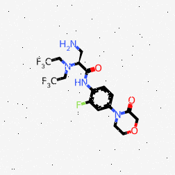 NC[C@@H](C(=O)Nc1ccc(N2CCOCC2=O)cc1F)N(CC(F)(F)F)CC(F)(F)F